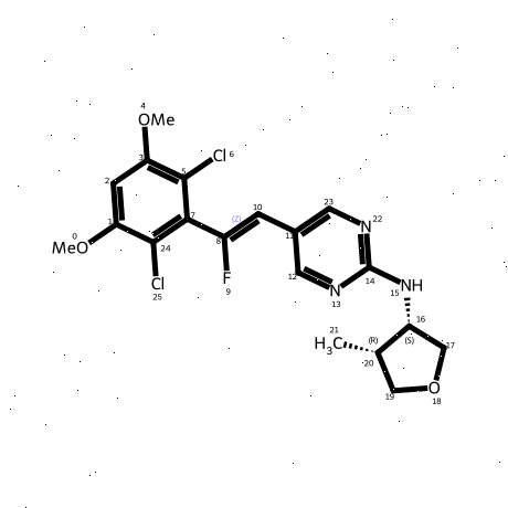 COc1cc(OC)c(Cl)c(/C(F)=C/c2cnc(N[C@@H]3COC[C@@H]3C)nc2)c1Cl